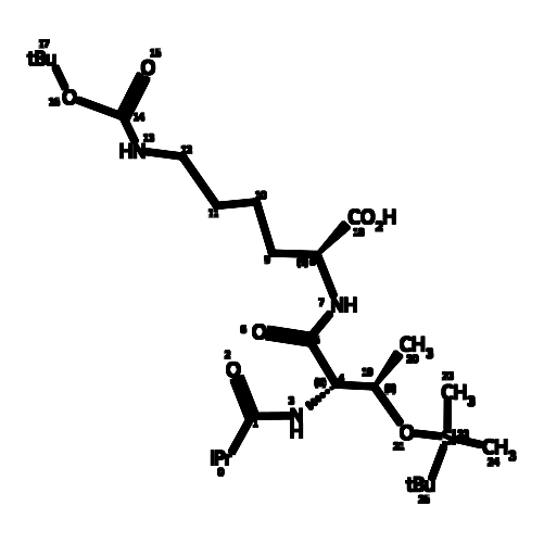 CC(C)C(=O)N[C@H](C(=O)N[C@@H](CCCCNC(=O)OC(C)(C)C)C(=O)O)[C@@H](C)O[Si](C)(C)C(C)(C)C